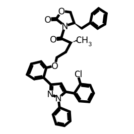 C[C@H](CCOc1ccccc1-c1cc(-c2ccccc2Cl)n(-c2ccccc2)n1)C(=O)N1C(=O)OC[C@H]1Cc1ccccc1